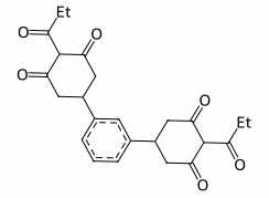 CCC(=O)C1C(=O)CC(c2cccc(C3CC(=O)C(C(=O)CC)C(=O)C3)c2)CC1=O